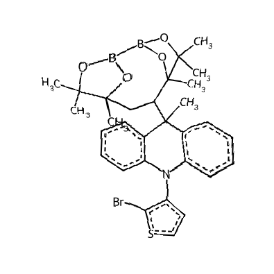 CC1(C2CC3(C)OB(OC3(C)C)B3OC(C)(C)C2(C)O3)c2ccccc2N(c2ccsc2Br)c2ccccc21